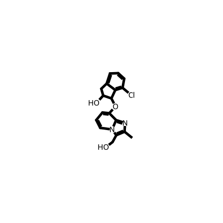 Cc1nc2c(OC3c4c(Cl)cccc4CC3O)cccn2c1CO